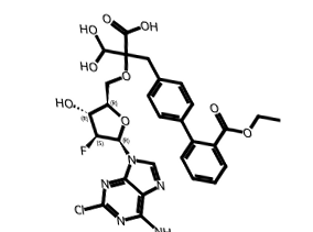 CCOC(=O)c1ccccc1-c1ccc(CC(OC[C@H]2O[C@@H](n3cnc4c(N)nc(Cl)nc43)[C@@H](F)[C@@H]2O)(C(=O)O)C(O)O)cc1